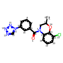 CCC1CN(C(=O)c2cccc(-n3cnnn3)c2)c2cccc(Cl)c2O1